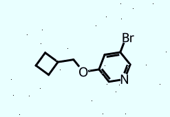 Brc1cncc(OCC2CCC2)c1